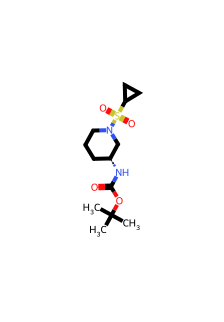 CC(C)(C)OC(=O)N[C@@H]1CCCN(S(=O)(=O)C2CC2)C1